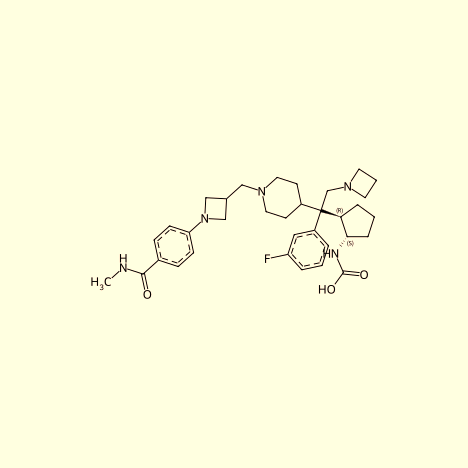 CNC(=O)c1ccc(N2CC(CN3CCC(C(CN4CCC4)(c4cccc(F)c4)[C@H]4CCC[C@@H]4NC(=O)O)CC3)C2)cc1